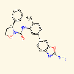 Cc1ccc(-c2ccc3nc(N)oc3c2)cc1NC(=O)N1OCC[C@H]1c1ccccc1